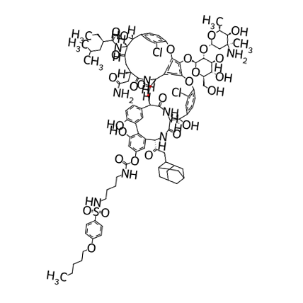 CCCCCOc1ccc(S(=O)(=O)NCCCCNC(=O)Oc2cc(O)c3c(c2)[C@@H](C(=O)CC2C4CC5CC(C4)CC2C5)NC(=O)[C@H]2NC(=O)[C@H](CC(=O)[C@@H]4NC(=O)[C@H](CC(N)=O)CC(=O)[C@H](NC(=O)[C@H](CC)CC(C)C)[C@H](O)c5ccc(c(Cl)c5)Oc5cc4cc(c5O[C@@H]4O[C@H](CO)[C@@H](O)[C@H](O)[C@H]4O[C@H]4C[C@](C)(N)[C@H](O)[C@H](C)O4)Oc4ccc(cc4Cl)[C@H]2O)c2ccc(O)c-3c2)cc1